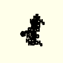 C[C@H](NS(=O)(=O)c1ccc(-c2sc(C(=O)NCC(C)(C)O)nc2C(=O)NCC2CCCC2)c(Cl)c1Cl)C(F)(F)F